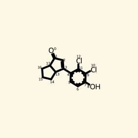 O=C1C=C(c2ccc(O)c(Cl)c2Cl)C2CCCC12